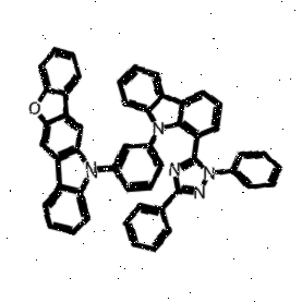 c1ccc(-c2nc(-c3cccc4c5ccccc5n(-c5cccc(-n6c7ccccc7c7cc8oc9ccccc9c8cc76)c5)c34)n(-c3ccccc3)n2)cc1